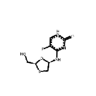 O=c1nc(N[C@H]2CS[C@@H](CO)O2)c(F)c[nH]1